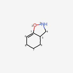 C1=C2ONCC2CCC1